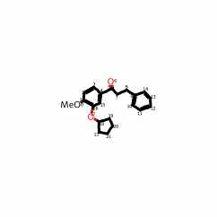 COc1ccc(C(=O)CCc2ccccc2)cc1OC1CCCC1